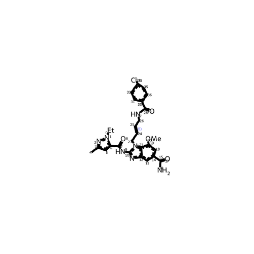 CCn1nc(C)cc1C(=O)Nc1nc2cc(C(N)=O)cc(OC)c2n1C/C=C/CNC(=O)c1ccc(Cl)cc1